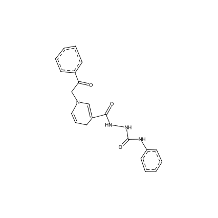 O=C(NNC(=O)C1=CN(CC(=O)c2ccccc2)C=CC1)Nc1ccccc1